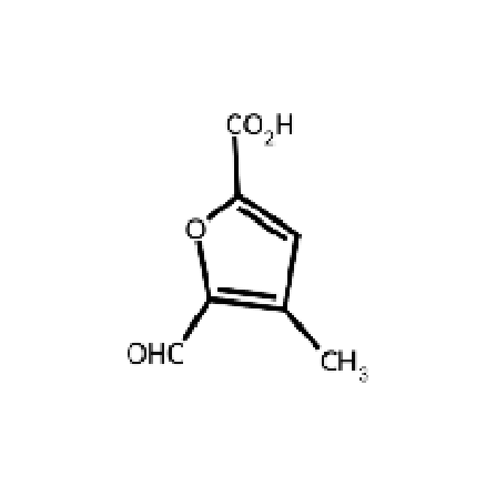 Cc1cc(C(=O)O)oc1C=O